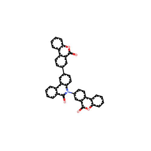 O=c1oc2ccccc2c2ccc(-c3ccc4c(c3)c3ccccc3c(=O)n4-c3ccc4c(c3)c(=O)oc3ccccc34)cc12